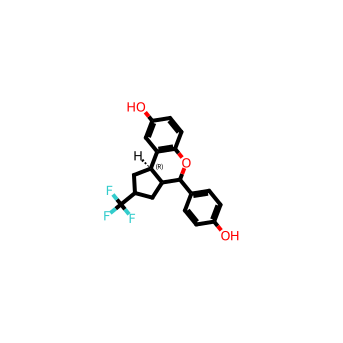 Oc1ccc(C2Oc3ccc(O)cc3[C@@H]3CC(C(F)(F)F)CC23)cc1